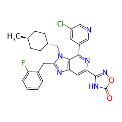 C[C@H]1CC[C@H](Cn2c(Cc3ccccc3F)nc3cc(-c4noc(=O)[nH]4)nc(-c4cncc(Cl)c4)c32)CC1